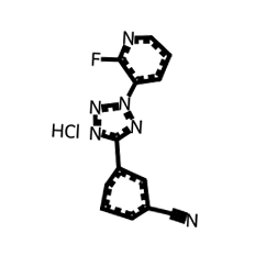 Cl.N#Cc1cccc(-c2nnn(-c3cccnc3F)n2)c1